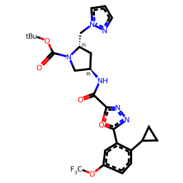 CC(C)(C)OC(=O)N1C[C@H](NC(=O)c2nnc(-c3cc(OC(F)(F)F)ccc3C3CC3)o2)C[C@H]1Cn1cccn1